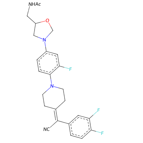 CC(=O)NCC1CN(c2ccc(N3CCC(=C(C#N)c4ccc(F)c(F)c4)CC3)c(F)c2)CO1